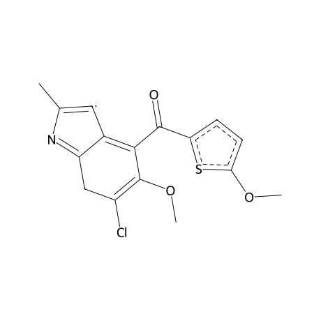 COC1=C(Cl)CC2=NC(C)=[C]C2=C1C(=O)c1ccc(OC)s1